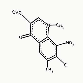 Cc1cc2c(=O)c(C=O)cn(C)c2c([N+](=O)[O-])c1Cl